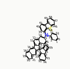 c1ccc(N(c2ccc3c4c(ccc3c2)-c2cc3ccccc3cc2C42c3ccccc3-c3ccccc32)c2cccc3c2sc2ccccc23)cc1